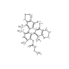 CCOC(=O)Cc1c(C)nc(C)c(-c2cc(F)c3c(c2C)CCCO3)c1-c1cc(F)c2c(c1C)CCCO2